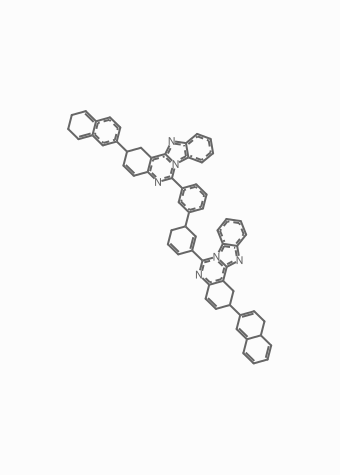 C1=CC2=CC(C3C=Cc4nc(C5=CC(c6cccc(-c7nc8c(c9nc%10ccccc%10n79)CC(c7ccc9c(c7)=CCCC=9)C=C8)c6)CC=C5)n5c(nc6ccccc65)c4C3)=CCC2C=C1